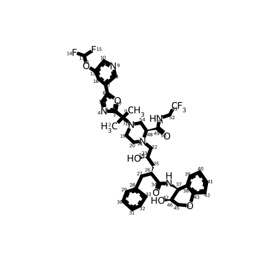 CC(C)(c1ncc(-c2cncc(OC(F)F)c2)o1)N1CCN(C[C@@H](O)C[C@@H](Cc2ccccc2)C(=O)N[C@H]2c3ccccc3OC[C@H]2O)[C@H](C(=O)NCC(F)(F)F)C1